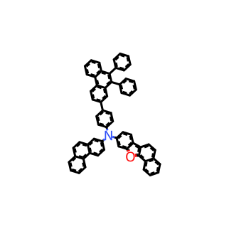 c1ccc(-c2c(-c3ccccc3)c3cc(-c4ccc(N(c5ccc6c(ccc7ccccc76)c5)c5ccc6c(c5)oc5c7ccccc7ccc65)cc4)ccc3c3ccccc23)cc1